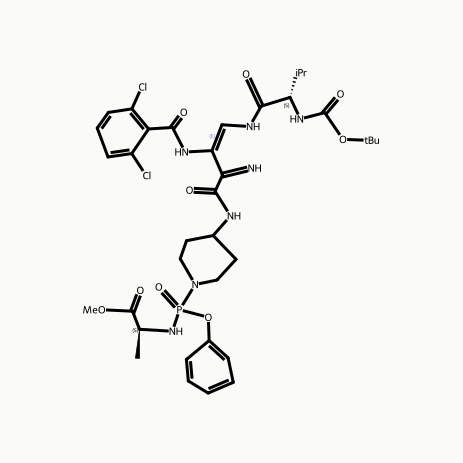 COC(=O)[C@H](C)NP(=O)(Oc1ccccc1)N1CCC(NC(=O)C(=N)/C(=C\NC(=O)[C@@H](NC(=O)OC(C)(C)C)C(C)C)NC(=O)c2c(Cl)cccc2Cl)CC1